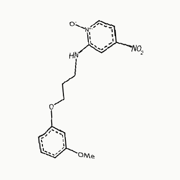 COc1cccc(OCCCNc2cc([N+](=O)[O-])cc[n+]2[O-])c1